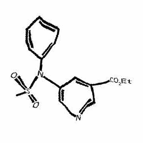 CCOC(=O)c1cncc(N(c2ccccc2)S(C)(=O)=O)c1